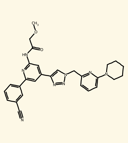 COCC(=O)Nc1cc(-c2cn(Cc3cccc(N4CCCCC4)n3)nn2)cc(-c2cccc(C#N)c2)n1